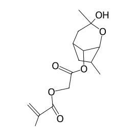 C=C(C)C(=O)OCC(=O)OC1C2CC(C)C1OC(C)(O)C2